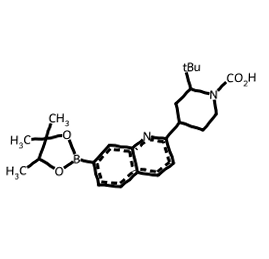 CC1OB(c2ccc3ccc(C4CCN(C(=O)O)C(C(C)(C)C)C4)nc3c2)OC1(C)C